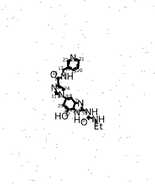 CCNC(=O)NC1=NC2C=C(n3cnc(C(=O)NCc4cccnc4)c3)C=C(O)C2N1